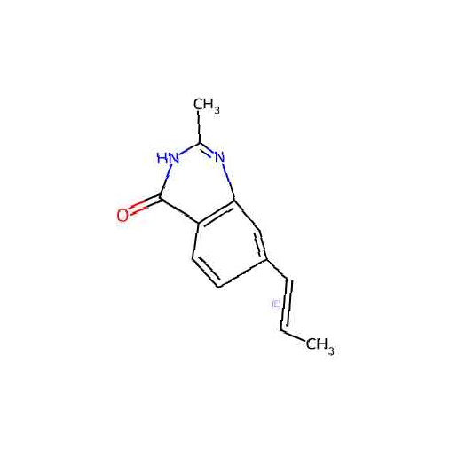 C/C=C/c1ccc2c(=O)[nH]c(C)nc2c1